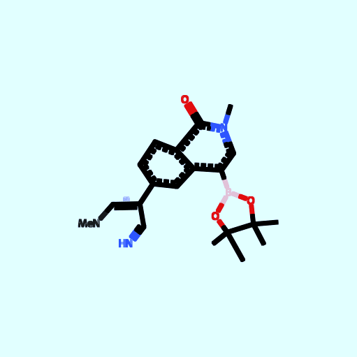 CN/C=C(\C=N)c1ccc2c(=O)n(C)cc(B3OC(C)(C)C(C)(C)O3)c2c1